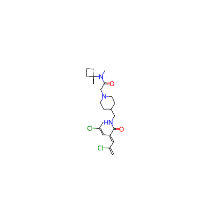 C=C(Cl)/C=C(\C=C(/C)Cl)C(=O)NCC1CCN(CC(=O)N(C)C2(C)CCC2)CC1